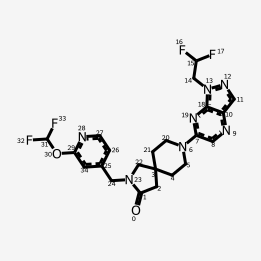 O=C1CC2(CCN(c3cnc4cnn(CC(F)F)c4n3)CC2)CN1Cc1ccnc(OC(F)F)c1